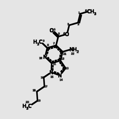 CC=CCOC(=O)c1c(C)nc2c(cnn2CCCCC)c1N